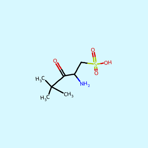 CC(C)(C)C(=O)C(N)CS(=O)(=O)O